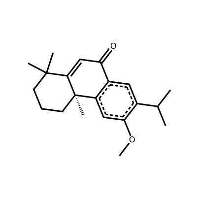 COc1cc2c(cc1C(C)C)C(=O)C=C1C(C)(C)CCC[C@@]12C